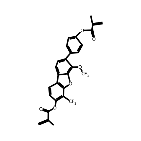 C=C(C)C(=O)Oc1ccc(-c2ccc3c(oc4c(C(F)(F)F)c(OC(=O)C(=C)C)ccc43)c2OC(F)(F)F)cc1